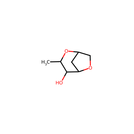 CC1OC2COC(C2)C1O